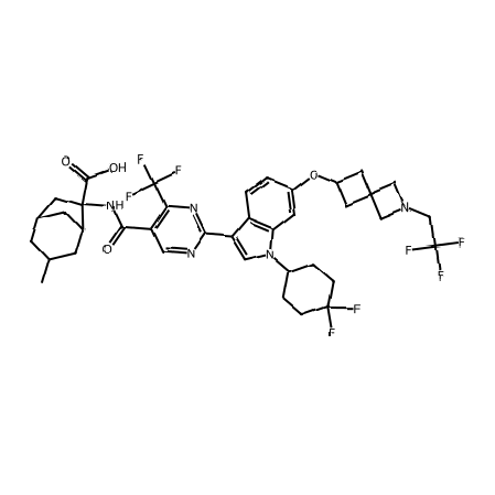 CC1CC2CC(C1)C(NC(=O)c1cnc(-c3cn(C4CCC(F)(F)CC4)c4cc(OC5CC6(C5)CN(CC(F)(F)F)C6)ccc34)nc1C(F)(F)F)(C(=O)O)C2